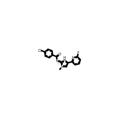 Cn1cc(-c2cccc(F)n2)[nH]/c1=N\C(=O)c1ccc(Cl)cc1